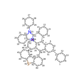 c1ccc(-c2ccc3c(-c4ccccc4-c4nc5ccccc5n4-c4ccccc4)c4ccccc4c(-c4cccc5sc6ccccc6c45)c3c2)cc1